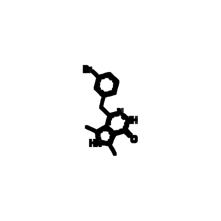 Cc1[nH]c(C)c2c(=O)[nH]nc(Cc3cccc(Br)c3)c12